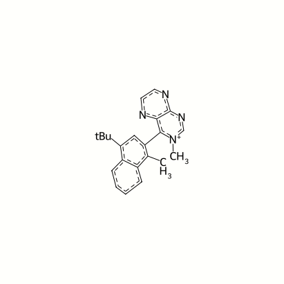 Cc1c(-c2c3nccnc3nc[n+]2C)cc(C(C)(C)C)c2ccccc12